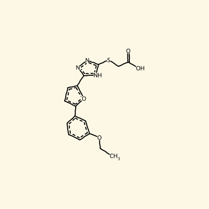 CCOc1cccc(-c2ccc(-c3nnc(SCC(=O)O)[nH]3)o2)c1